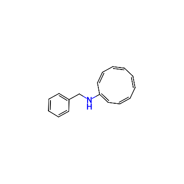 c1ccccc(NCc2ccccc2)cccc1